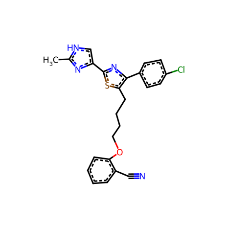 Cc1nc(-c2nc(-c3ccc(Cl)cc3)c(CCCCOc3ccccc3C#N)s2)c[nH]1